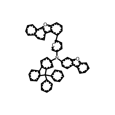 c1ccc(C2(c3ccccc3)c3ccccc3-c3ccc(N(c4ccc(-c5cccc6oc7c8ccccc8ccc7c56)cc4)c4ccc5c(c4)oc4ccccc45)cc32)cc1